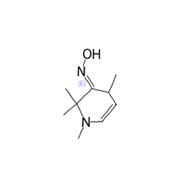 CC1C=CN(C)C(C)(C)/C1=N/O